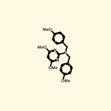 COc1ccc(CN(Cc2ccc(OC)cc2)c2nc(OC)cc(OC)n2)cc1